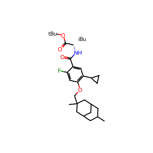 CC[C@H](C)[C@H](NC(=O)c1cc(C2CC2)c(OCC2(C)CC3CC(C)CC(C3)C2)cc1F)C(=O)OC(C)(C)C